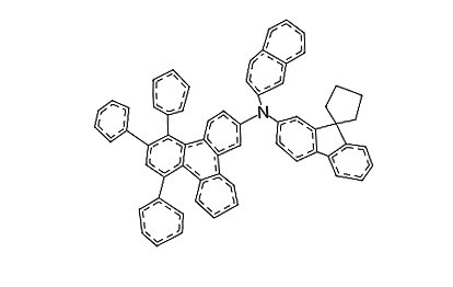 c1ccc(-c2cc(-c3ccccc3)c3c4ccccc4c4cc(N(c5ccc6c(c5)C5(CCCC5)c5ccccc5-6)c5ccc6ccccc6c5)ccc4c3c2-c2ccccc2)cc1